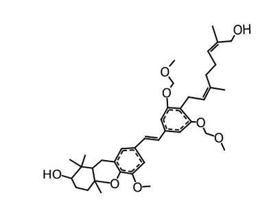 COCOc1cc(C=Cc2cc3c(c(OC)c2)OC2(C)CCC(O)C(C)(C)C2C3)cc(OCOC)c1CC=C(C)CCC=C(C)CO